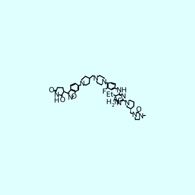 CCC(C(C)=O)/C(=N\C(=N/N)N1CCC[C@@H](CN2CCN(C)C2=O)C1)Nc1ccc(N2CCN(CC3CCN(c4ccc5c(C6CCC(=O)NC6=O)noc5c4)CC3)CC2)c(F)c1